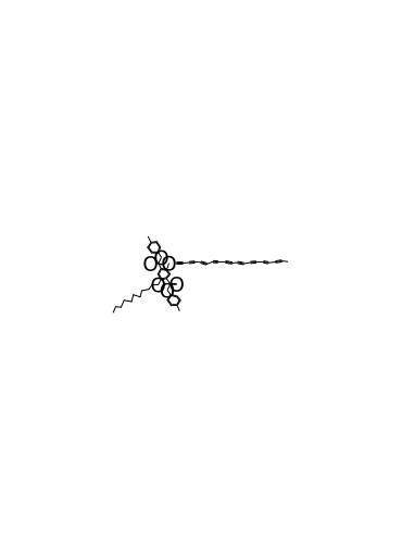 CC#CC#CC#CC#CC#CC#CC#CC#CC#COc1cc(C(=O)Oc2ccc(C)cc2)c(OCCCCCCCCCC)cc1C(=O)Oc1ccc(C)cc1